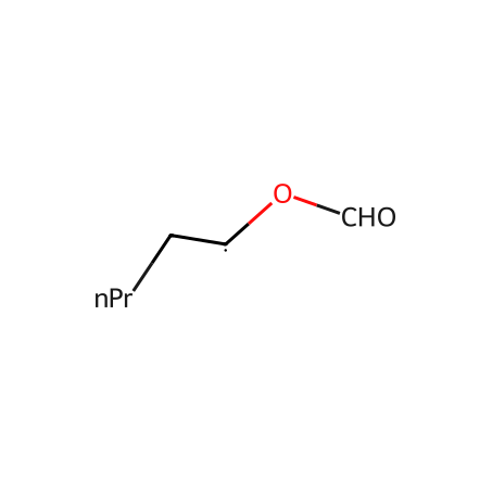 CCCC[CH]OC=O